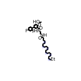 CC/C=C\C/C=C\C/C=C\C/C=C\C/C=C\C/C=C\CCC(=O)NCCNC(=O)c1cc(-c2ccc(F)cc2F)ccc1OC(C)O